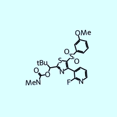 CNC(=O)OC(c1nc(-c2cccnc2F)c(S(=O)(=O)c2cccc(OC)c2)s1)C(C)(C)C